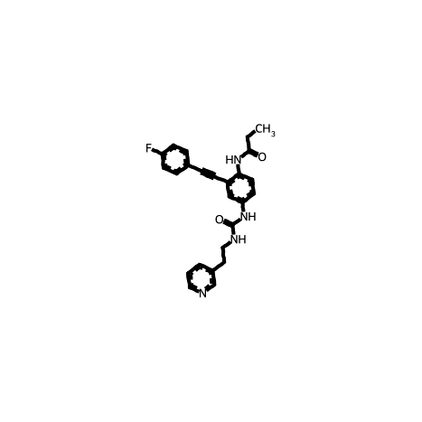 CCC(=O)Nc1ccc(NC(=O)NCCc2cccnc2)cc1C#Cc1ccc(F)cc1